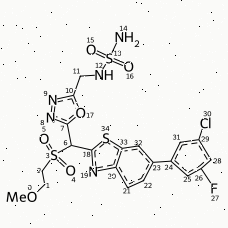 COCCS(=O)(=O)C(c1nnc(CNS(N)(=O)=O)o1)c1nc2ccc(-c3cc(F)cc(Cl)c3)cc2s1